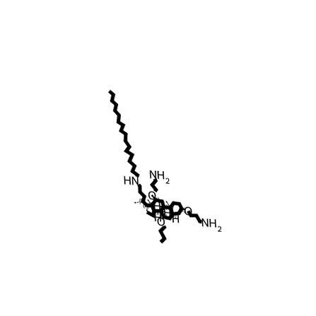 CCCCCCCCCCCCCCCCCCNCCC[C@@H](C)[C@H]1CC[C@H]2[C@@H]3[C@H](OCCCC)C[C@@H]4C[C@H](OCCCN)CC[C@]4(C)[C@H]3C[C@H](OCCCN)[C@]12C